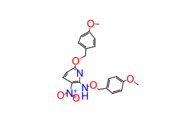 COc1ccc(CONc2nc(OCc3ccc(OC)cc3)ccc2[N+](=O)[O-])cc1